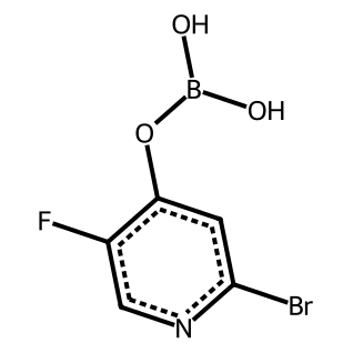 OB(O)Oc1cc(Br)ncc1F